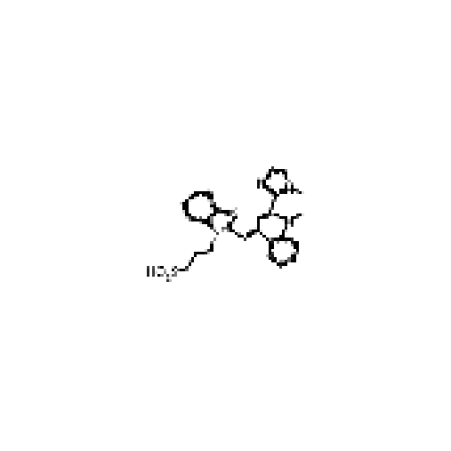 CN1C(c2nccn2C)=C/C(=C\c2sc3ccccc3[n+]2CCCS(=O)(=O)O)c2ccccc21